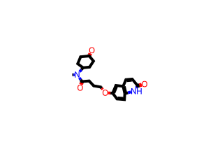 CN(C(=O)CCCOc1ccc2[nH]c(=O)ccc2c1)C1CCC(=O)CC1